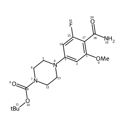 COc1cc(N2CCN(C(=O)OC(C)(C)C)CC2)cc(F)c1C(N)=O